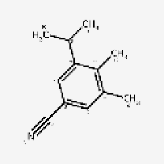 Cc1cc(C#N)cc(C(C)C)c1C